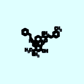 Cc1cccc(C=CC(=O)N(C)[C@H]2CC[C@H]3[C@H]4Cc5c(N(C)C)cc(O)c6c5[C@@]3(CCN4CCc3ccccc3)[C@H]2O6)c1